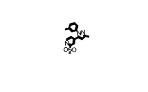 Cc1cccc(-n2nc(C)cc2-c2ccnc(S(C)(=O)=O)c2)c1